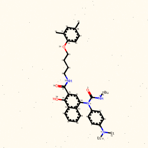 CCCCNC(=O)N(c1ccc(N(CC)CC)cc1)c1cc(C(=O)NCCCCOc2ccc(C)cc2C)c(O)c2ccccc12